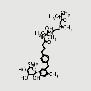 CS[C@H]1O[C@@H](c2ccc(C)c(Cc3ccc(CCCC(=O)NC(C)(C)C(=O)NCCN(C)CC(=O)N(C)C)cc3)c2)[C@H](O)[C@@H](O)[C@@H]1O